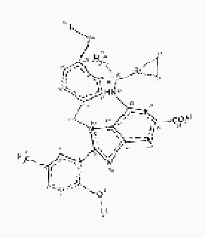 CCOc1ccc(C)cc1-c1nc2nc(C(=O)O)nc(N[C@H](C)C3CC3)c2n1Cc1ccc(CI)cc1